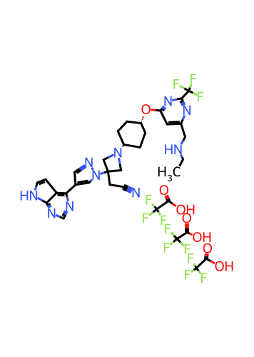 CCNCc1cc(O[C@H]2CC[C@@H](N3CC(CC#N)(n4cc(-c5ncnc6[nH]ccc56)cn4)C3)CC2)nc(C(F)(F)F)n1.O=C(O)C(F)(F)F.O=C(O)C(F)(F)F.O=C(O)C(F)(F)F